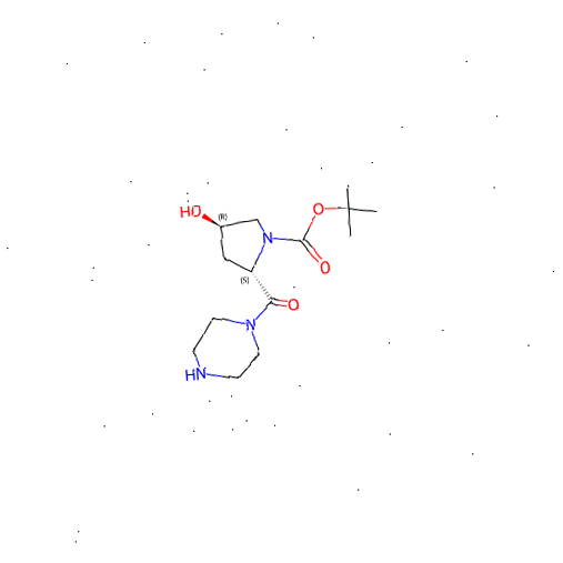 CC(C)(C)OC(=O)N1C[C@H](O)C[C@H]1C(=O)N1CCNCC1